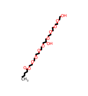 CCCCCC(=O)OCCOCCOCCOCCOCC(O)COCCOCCOCCOCCO